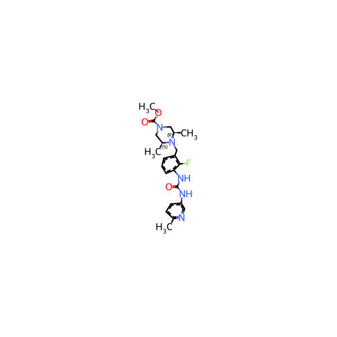 COC(=O)N1C[C@@H](C)N(Cc2cccc(NC(=O)Nc3ccc(C)nc3)c2F)[C@@H](C)C1